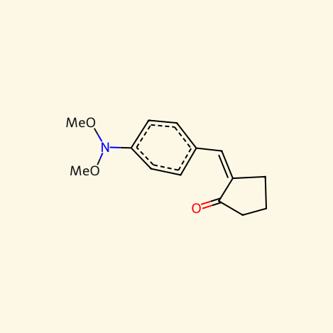 CON(OC)c1ccc(C=C2CCCC2=O)cc1